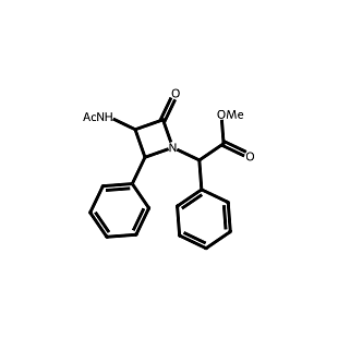 COC(=O)C(c1ccccc1)N1C(=O)C(NC(C)=O)C1c1ccccc1